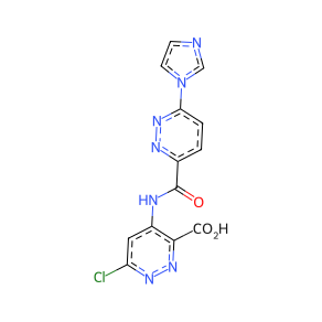 O=C(Nc1cc(Cl)nnc1C(=O)O)c1ccc(-n2ccnc2)nn1